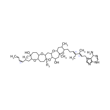 C=C/C=C\CCC1OC2CCC3(C)OC4C(O)CC5(C)OC(CC/C=C(C)/C(C)=C/Cn6cnc7c6C(N)N=CN7)C(C)CC5OC4CC3OC2CCC1(C)O